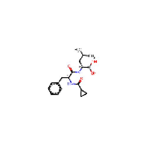 CC(C)C[C@H](NC(=O)[C@H](Cc1ccccc1)NC(=O)C1CC1)B(O)O